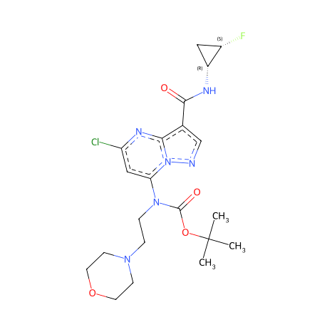 CC(C)(C)OC(=O)N(CCN1CCOCC1)c1cc(Cl)nc2c(C(=O)N[C@@H]3C[C@@H]3F)cnn12